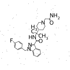 CC(C)(NC(=O)c1nn(Cc2ccc(F)cc2)c2ccccc12)C1CCN(CC(N)=O)CC1